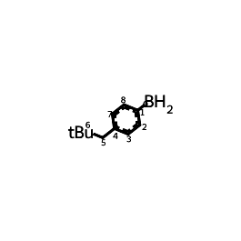 Bc1ccc(CC(C)(C)C)cc1